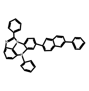 c1ccc(-c2ccc3cc(-c4ccc5c(c4)N(c4ccccc4)c4cccc6nc(-c7ccccc7)n-5c46)ccc3c2)cc1